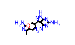 C=C(/C=C\c1oc(N)nc1C)c1n[nH]c2nc(N)nc(N)c12